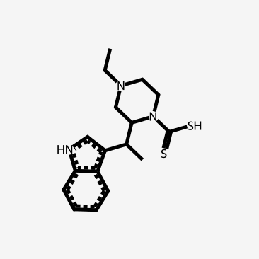 CCN1CCN(C(=S)S)C(C(C)c2c[nH]c3ccccc23)C1